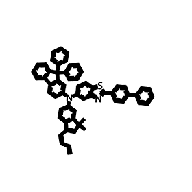 C=C/C=C\C1=CC(C)(C)c2cc(N(c3ccc4c(c3)C(c3ccccc3)(c3ccccc3)c3ccccc3-4)c3ccc4sc(-c5ccc(-c6ccccc6)cc5)nc4c3)ccc21